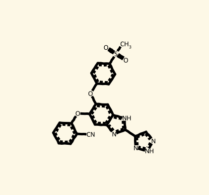 CS(=O)(=O)c1ccc(Oc2cc3[nH]c(-c4cn[nH]n4)nc3cc2Oc2ccccc2C#N)cc1